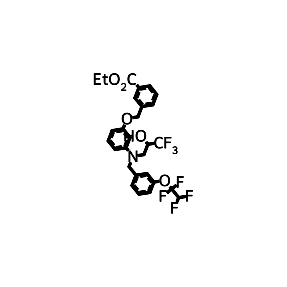 CCOC(=O)c1cccc(COc2cccc(N(Cc3cccc(OC(F)(F)C(F)F)c3)CC(O)C(F)(F)F)c2)c1